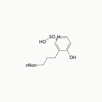 CCCCCCCCCCCCc1ccccc1O.O=S(=O)(O)O